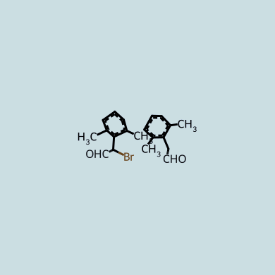 Cc1cccc(C)c1C(Br)C=O.Cc1cccc(C)c1CC=O